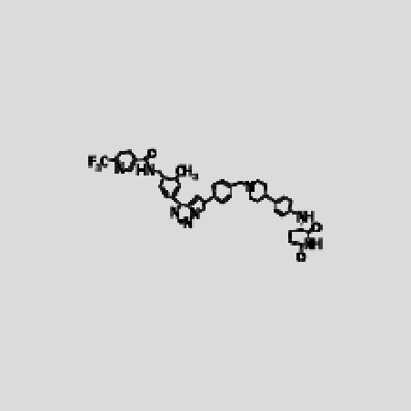 Cc1cc(-c2ncnn3cc(-c4ccc(CN5CCC(c6ccc(N[C@H]7CCC(=O)NC7=O)cc6)CC5)cc4)cc23)ccc1CNC(=O)c1ccc(C(F)(F)F)nc1